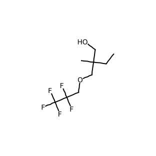 CCC(C)(CO)COCC(F)(F)C(F)(F)F